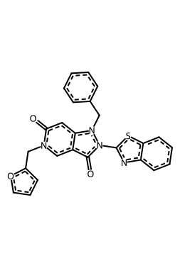 O=c1cc2c(cn1Cc1ccco1)c(=O)n(-c1nc3ccccc3s1)n2Cc1ccccc1